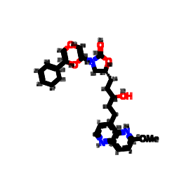 COc1ccc2nccc(CC[C@H](O)CC[C@@H]3CN(C4=COC=C(C5=CC=CCC5)O4)C(=O)O3)c2n1